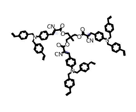 [C-]#[N+]/C(=C\c1ccc(N(Cc2ccc(C=C)cc2)Cc2ccc(C=C)cc2)cc1)C(=O)OCC(C)(COC(=O)/C(=C/c1ccc(N(Cc2ccc(C=C)cc2)Cc2ccc(C=C)cc2)cc1)[N+]#[C-])COC(=O)/C(C#N)=C/c1ccc(N(Cc2ccc(C=C)cc2)Cc2ccc(C=C)cc2)cc1